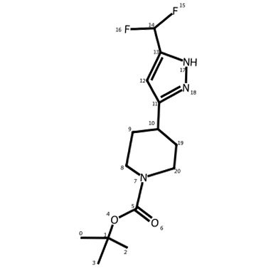 CC(C)(C)OC(=O)N1CCC(c2cc(C(F)F)[nH]n2)CC1